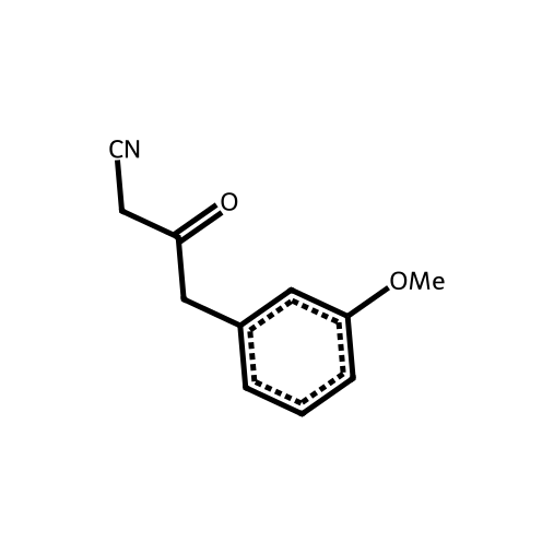 COc1cccc(CC(=O)CC#N)c1